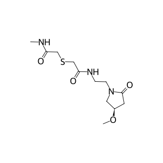 CNC(=O)CSCC(=O)NCCN1C[C@H](OC)CC1=O